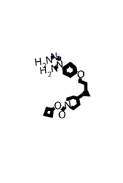 N/N=C\N(N)c1ccc(OCCC2CC2C2CCN(C(=O)OC3CCC3)CC2)cc1